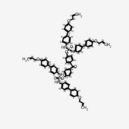 C=CCOc1ccc(-c2ccc(NP(=O)(Nc3ccc(-c4ccc(OCC=C)cc4)cc3)Oc3ccc(C(=O)c4ccc(OP(=O)(Nc5ccc(-c6ccc(OCC=C)cc6)cc5)Nc5ccc(-c6ccc(OCC=C)cc6)cc5)cc4)cc3)cc2)cc1